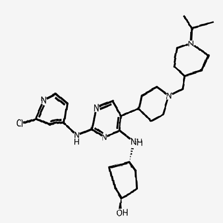 CC(C)N1CCC(CN2CCC(c3cnc(Nc4ccnc(Cl)c4)nc3N[C@H]3CC[C@H](O)CC3)CC2)CC1